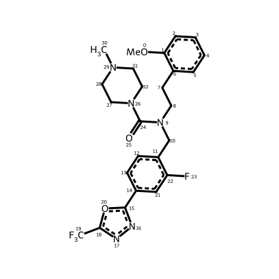 COc1ccccc1CCN(Cc1ccc(-c2nnc(C(F)(F)F)o2)cc1F)C(=O)N1CCN(C)CC1